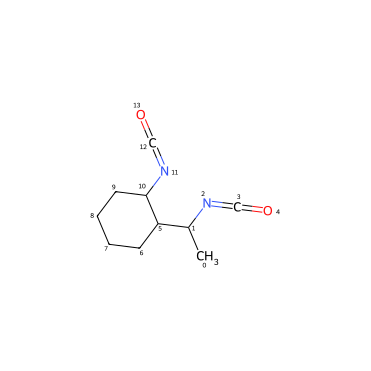 CC(N=C=O)C1CCCCC1N=C=O